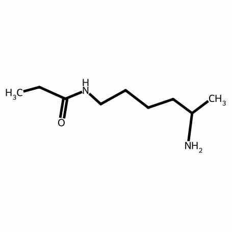 CCC(=O)NCCCCC(C)N